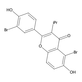 CC(C)c1c(-c2ccc(O)c(Br)c2)oc2ccc(O)c(Br)c2c1=O